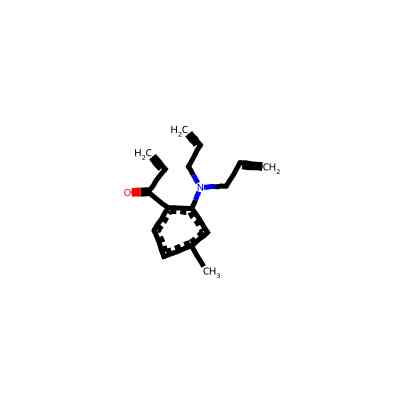 C=CCN(CC=C)c1cc(C)ccc1C(=O)C=C